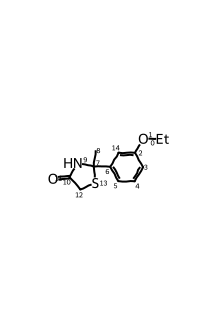 CCOc1cccc(C2(C)NC(=O)CS2)c1